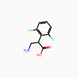 NCC(C(=O)O)c1c(F)cccc1F